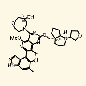 COc1nc(-c2c(Cl)c(C)cc3[nH]ncc23)c(F)c2nc(OC[C@]34CCC[C@H]3N(C3CCOC3)CCC4)nc(N3CCOC[C@@](C)(O)C3)c12